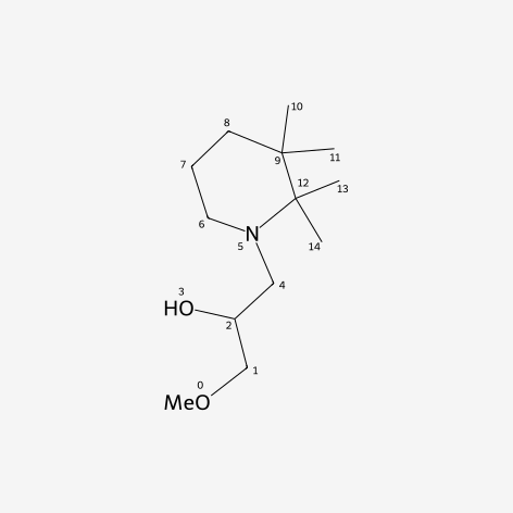 COCC(O)CN1CCCC(C)(C)C1(C)C